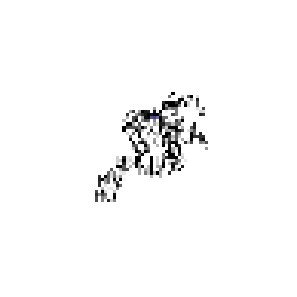 CC(O/N=C(\C(=O)N[C@@H]1C(=O)N(OS(=O)(=O)O)C1(C)C)c1csc(N)n1)(C(=O)O)[C@H]1CCc2cc(C(=N)NC[C@H]3CCN[C@H](CO)C3)ccc2O1